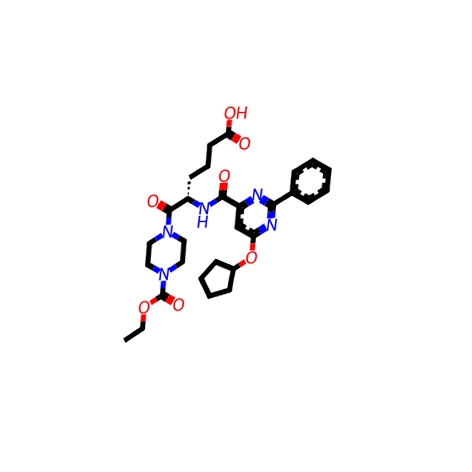 CCOC(=O)N1CCN(C(=O)[C@H](CCCC(=O)O)NC(=O)c2cc(OC3CCCC3)nc(-c3ccccc3)n2)CC1